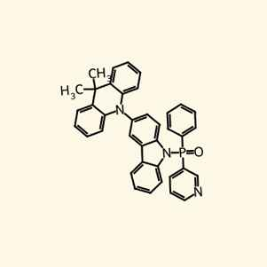 CC1(C)c2ccccc2N(c2ccc3c(c2)c2ccccc2n3P(=O)(c2ccccc2)c2cccnc2)c2ccccc21